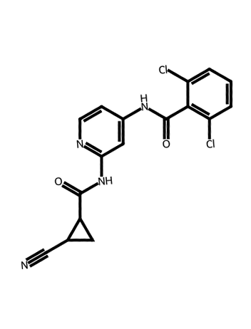 N#CC1CC1C(=O)Nc1cc(NC(=O)c2c(Cl)cccc2Cl)ccn1